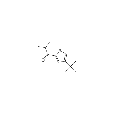 CC(C)C(=O)c1cc(C(C)(C)C)cs1